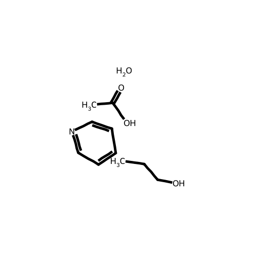 CC(=O)O.CCCO.O.c1ccncc1